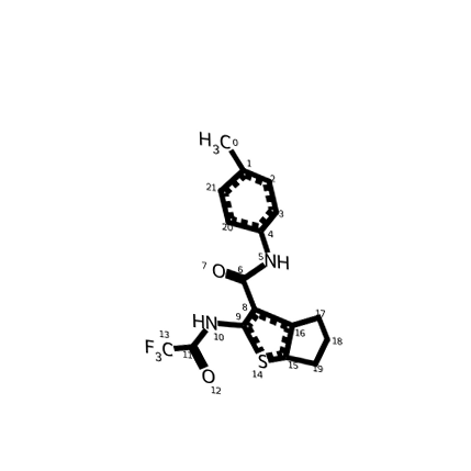 Cc1ccc(NC(=O)c2c(NC(=O)C(F)(F)F)sc3c2CCC3)cc1